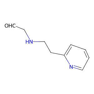 O=CCNCCc1ccccn1